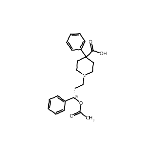 CC(=O)O[C@@H](CCN1CCC(C(=O)O)(c2ccccc2)CC1)c1ccccc1